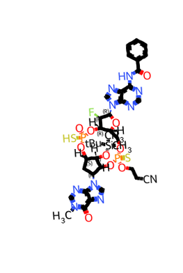 Cn1cnc2c(ncn2[C@@H]2C[C@@H]3OP(=O)(S)O[C@H]4[C@@H](F)[C@H](n5cnc6c(NC(=O)c7ccccc7)ncnc65)O[C@@H]4COP(=S)(OCCC#N)O[C@@H]2[C@@H]3O[Si](C)(C)C(C)(C)C)c1=O